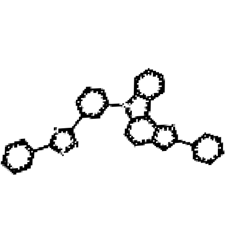 c1ccc(-c2cc3ccc4c(c5ccccc5n4-c4cccc(-c5nnc(-c6ccccc6)s5)c4)c3s2)cc1